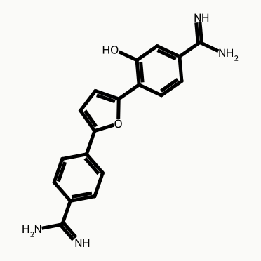 N=C(N)c1ccc(-c2ccc(-c3ccc(C(=N)N)cc3O)o2)cc1